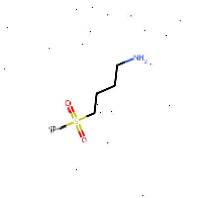 CC(C)S(=O)(=O)CCCCN